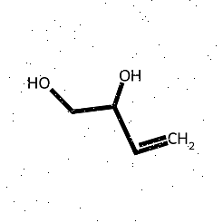 C=CC(O)[CH]O